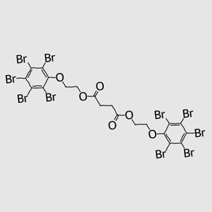 O=C(CCC(=O)OCCOc1c(Br)c(Br)c(Br)c(Br)c1Br)OCCOc1c(Br)c(Br)c(Br)c(Br)c1Br